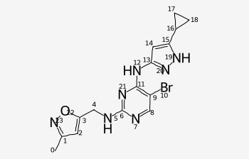 Cc1cc(CNc2ncc(Br)c(Nc3cc(C4CC4)[nH]n3)n2)on1